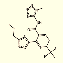 CCCc1ncn(C2=NC(C(C)(F)F)CC=C2C(=O)Nc2nnnn2C)n1